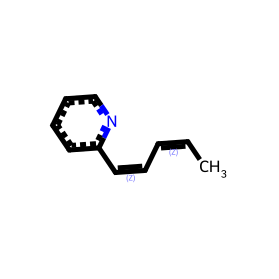 C/C=C\C=C/c1ccccn1